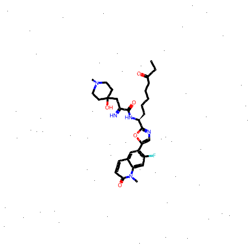 CCC(=O)CCCCC[C@H](NC(=O)C(=N)CC1(O)CCN(C)CC1)c1ncc(-c2cc3ccc(=O)n(C)c3cc2F)o1